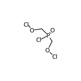 O=P(Cl)(COCl)COCl